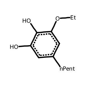 CCCCCc1cc(O)c(O)c(OCC)c1